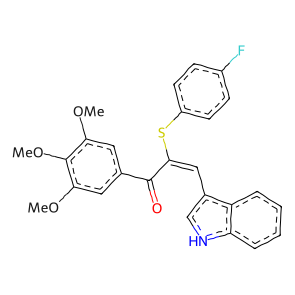 COc1cc(C(=O)/C(=C\c2c[nH]c3ccccc23)Sc2ccc(F)cc2)cc(OC)c1OC